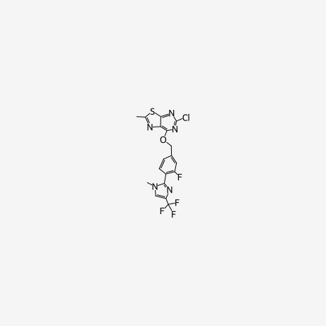 Cc1nc2c(OCc3ccc(-c4nc(C(F)(F)F)cn4C)c(F)c3)nc(Cl)nc2s1